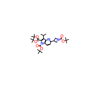 CC(C)c1c(B2OC(C)(C)C(C)(C)O2)n(C(=O)OC(C)(C)C)c2ccc(C3CN(C(=O)OC(C)(C)C)C3)nc12